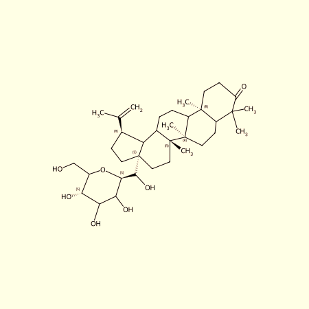 C=C(C)[C@@H]1CC[C@]2(C(O)[C@@H]3OC(CO)[C@@H](O)C(O)C3O)CC[C@]3(C)C(CCC4[C@@]5(C)CCC(=O)C(C)(C)C5CC[C@]43C)C12